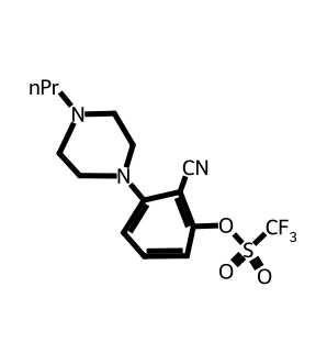 CCCN1CCN(c2cccc(OS(=O)(=O)C(F)(F)F)c2C#N)CC1